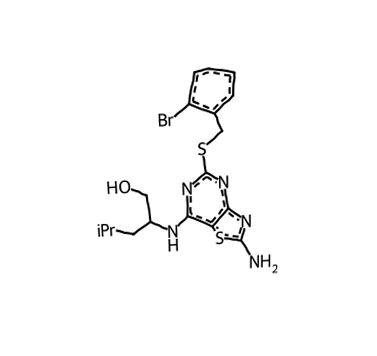 CC(C)CC(CO)Nc1nc(SCc2ccccc2Br)nc2nc(N)sc12